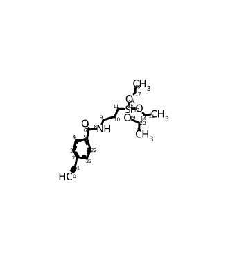 C#Cc1ccc(C(=O)NCCC[Si](OCC)(OCC)OCC)cc1